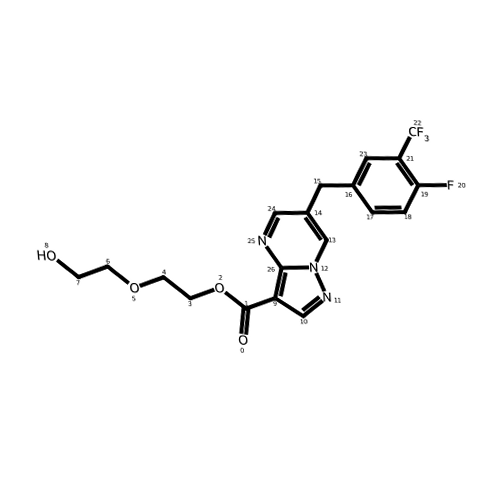 O=C(OCCOCCO)c1cnn2cc(Cc3ccc(F)c(C(F)(F)F)c3)cnc12